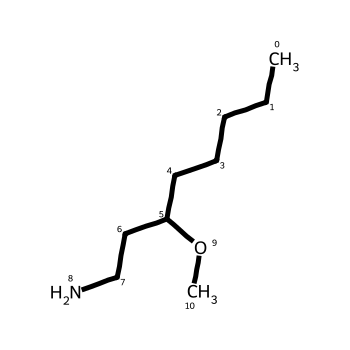 CCCCCC(CCN)OC